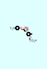 CCO[C@H](COc1ccc(C(F)(F)F)cc1)C[S+]([O-])c1ccc(OCC(=O)O)c(C)c1